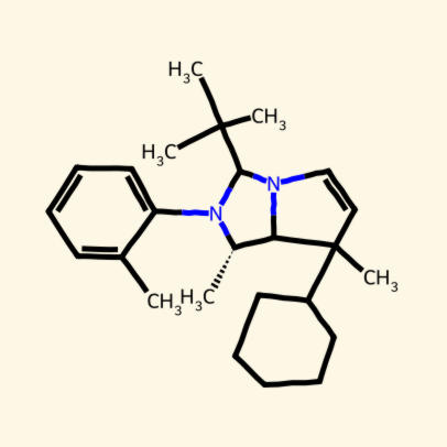 Cc1ccccc1N1C(C(C)(C)C)N2C=CC(C)(C3CCCCC3)C2[C@@H]1C